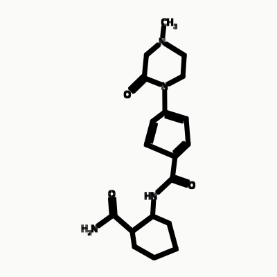 CN1CCN(c2ccc(C(=O)NC3CCCCC3C(N)=O)cc2)C(=O)C1